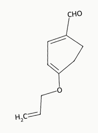 C=CCOC1=CC=C(C=O)CC1